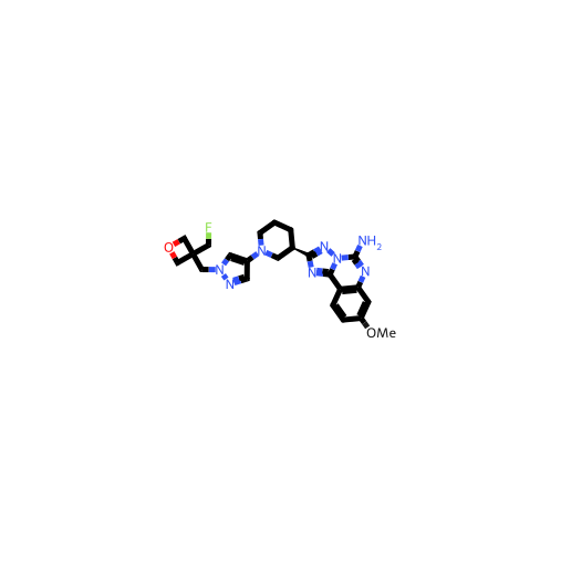 COc1ccc2c(c1)nc(N)n1nc([C@@H]3CCCN(c4cnn(CC5(CF)COC5)c4)C3)nc21